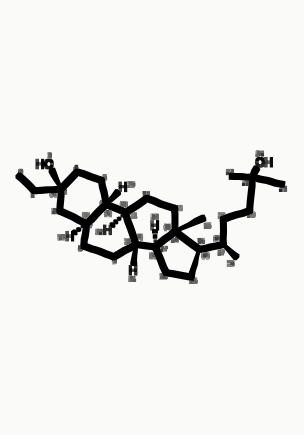 CC[C@]1(O)CC[C@H]2[C@@H](CC[C@@H]3[C@@H]2CC[C@]2(C)[C@@H]([C@H](C)CCC(C)(C)O)CC[C@@H]32)C1